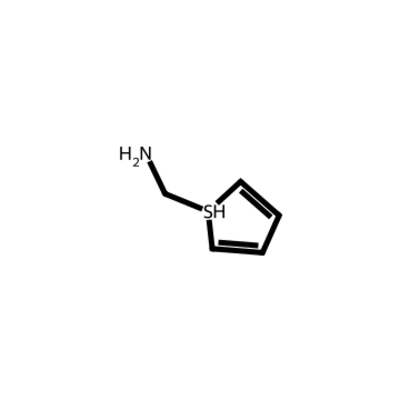 NC[SH]1C=CC=C1